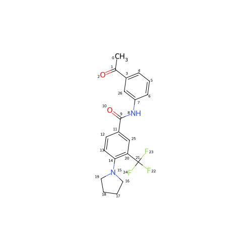 CC(=O)c1cccc(NC(=O)c2ccc(N3CCCC3)c(C(F)(F)F)c2)c1